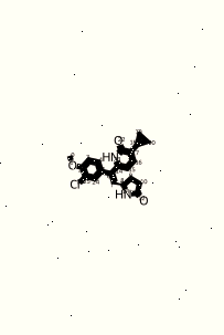 COc1ccc(C(=C[C@H]2CCC(=O)N2)c2ccc(C3CC3)c(=O)[nH]2)cc1Cl